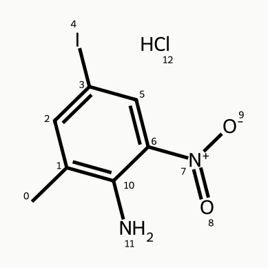 Cc1cc(I)cc([N+](=O)[O-])c1N.Cl